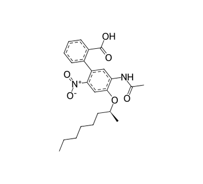 CCCCCC[C@H](C)Oc1cc([N+](=O)[O-])c(-c2ccccc2C(=O)O)cc1NC(C)=O